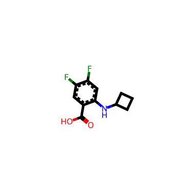 O=C(O)c1cc(F)c(F)cc1NC1CCC1